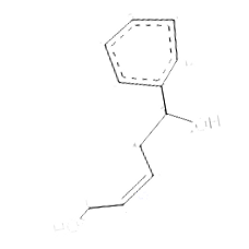 OC/C=C\CC(O)c1ccccc1